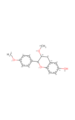 COc1ccc(C2Oc3ccc(O)cc3CC2OC)cc1